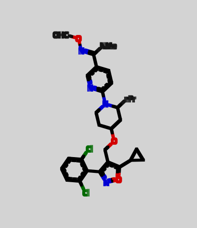 CCCC1CC(OCc2c(-c3c(Cl)cccc3Cl)noc2C2CC2)CCN1c1ccc(/C(=N/OC=O)NC)cn1